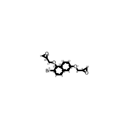 Brc1ccc2cc(OCC3CO3)ccc2c1OCC1CO1